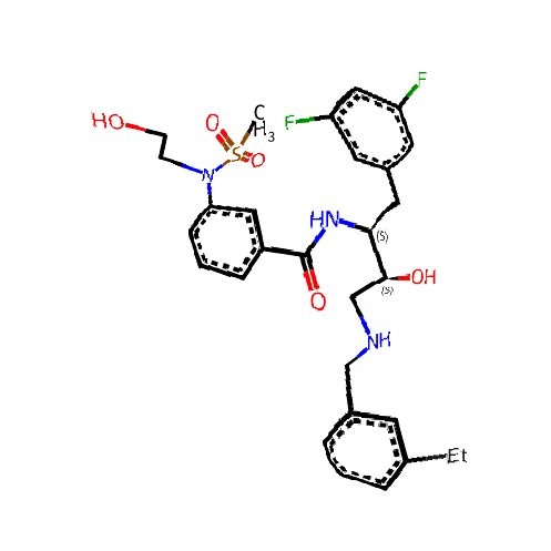 CCc1cccc(CNC[C@H](O)[C@H](Cc2cc(F)cc(F)c2)NC(=O)c2cccc(N(CCO)S(C)(=O)=O)c2)c1